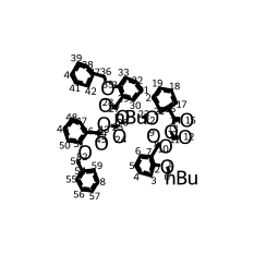 CCCCOc1ccccc1C(=O)OC(=O)OC(=O)c1ccccc1OCCCC.O=C(OC(=O)c1ccccc1OCc1ccccc1)OC(=O)c1ccccc1OCc1ccccc1